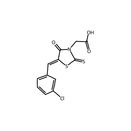 O=C(O)CN1C(=O)C(=Cc2cccc(Cl)c2)SC1=S